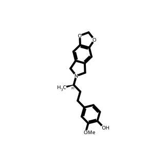 COc1cc(CC[C@@H](C)N2Cc3cc4c(cc3C2)OCO4)ccc1O